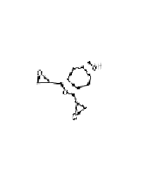 C(OCC1CO1)C1CO1.C1CCCCC1.CO